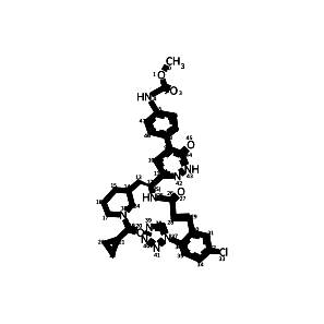 COC(=O)Nc1ccc(-c2cc([C@H](CC3CCCN(C(=O)C4CC4)C3)NC(=O)C=Cc3cc(Cl)ccc3-n3cnnn3)n[nH]c2=O)cc1